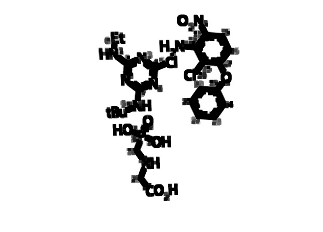 CCNc1nc(Cl)nc(NC(C)(C)C)n1.Nc1c([N+](=O)[O-])ccc(Oc2ccccc2)c1Cl.O=C(O)CNCP(=O)(O)O